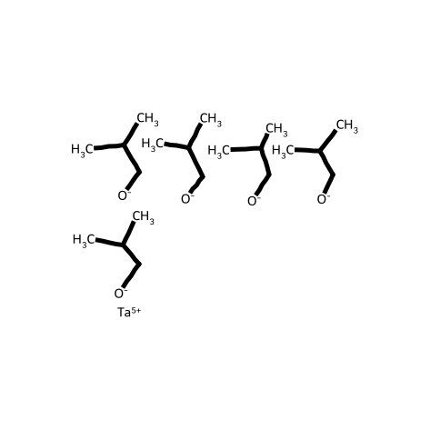 CC(C)C[O-].CC(C)C[O-].CC(C)C[O-].CC(C)C[O-].CC(C)C[O-].[Ta+5]